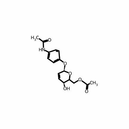 CC(=O)Nc1ccc(O[C@@H]2C=C[C@H](O)C(COC(C)=O)O2)cc1